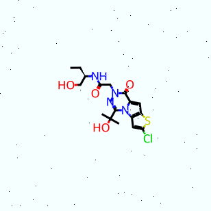 CC[C@H](CO)NC(=O)Cn1nc(C(C)(C)O)n2c(cc3sc(Cl)cc32)c1=O